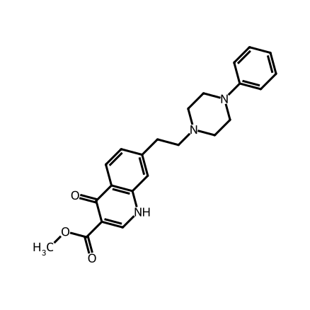 COC(=O)c1c[nH]c2cc(CCN3CCN(c4ccccc4)CC3)ccc2c1=O